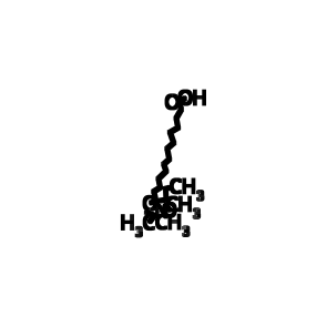 CCC(C)C1(CCCCCCCCCCCCC(=O)O)OCC(C)(C)N1[O]